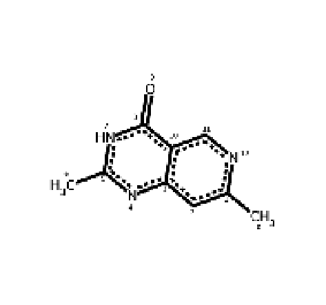 Cc1cc2nc(C)[nH]c(=O)c2cn1